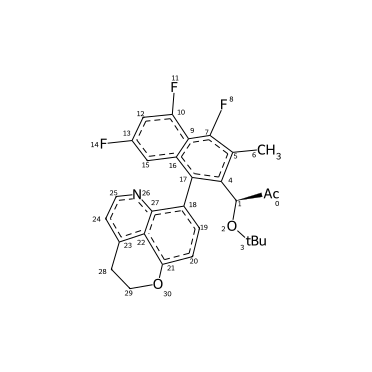 CC(=O)[C@@H](OC(C)(C)C)c1c(C)c(F)c2c(F)cc(F)cc2c1-c1ccc2c3c(ccnc13)CCO2